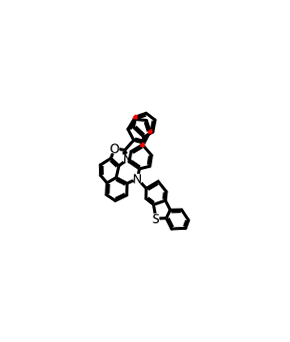 c1ccc(-c2ccc(N(c3ccc4c(c3)sc3ccccc34)c3cccc4ccc5oc(-c6ccccc6)nc5c34)cc2)cc1